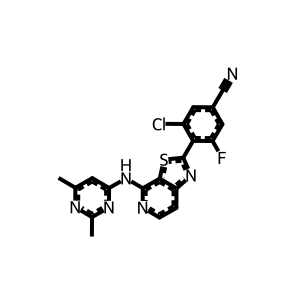 Cc1cc(Nc2nccc3nc(-c4c(F)cc(C#N)cc4Cl)sc23)nc(C)n1